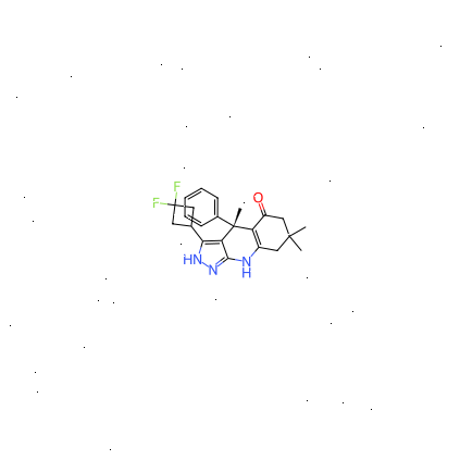 CC1(C)CC(=O)C2=C(C1)Nc1n[nH]c(C3CC(F)(F)C3)c1[C@]2(C)c1ccccc1